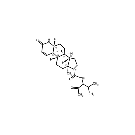 CC(=O)C(NC(=O)[C@H]1CC[C@H]2[C@@H]3CC[C@H]4NC(=O)C=C[C@]4(C)[C@H]3CC[C@]12C)C(C)C